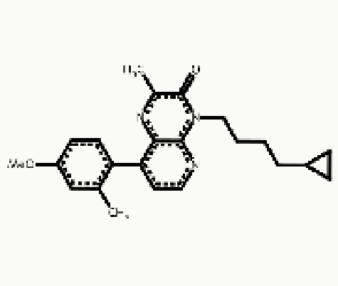 COc1ccc(-c2ccnc3c2nc(C)c(=O)n3CCCCC2CC2)c(C)c1